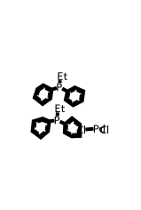 CCP(c1ccccc1)c1ccccc1.CCP(c1ccccc1)c1ccccc1.[Cl][Pd][Cl]